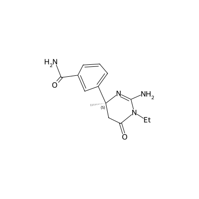 CCN1C(=O)C[C@@](C)(c2cccc(C(N)=O)c2)N=C1N